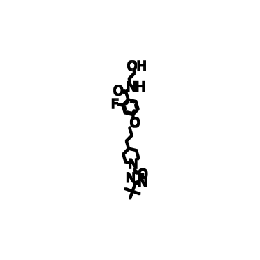 CC(C)(C)c1noc(N2CCC(CCCOc3ccc(C(=O)NCCO)c(F)c3)CC2)n1